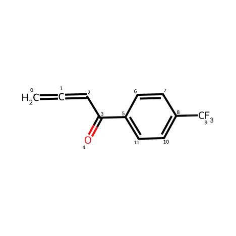 C=C=CC(=O)c1ccc(C(F)(F)F)cc1